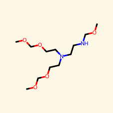 COCNCCN(CCOCOC)CCOCOC